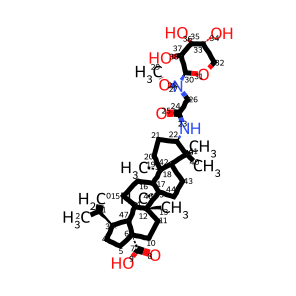 C=C(C)[C@@H]1CC[C@]2(C(=O)O)CC[C@]3(C)C(CCC4[C@@]5(C)CC[C@H](NC(=O)CN(OC)[C@@H]6OC[C@@H](O)[C@H](O)C6O)C(C)(C)C5CC[C@]43C)C12